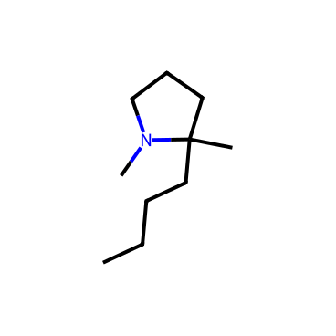 CCCCC1(C)CCCN1C